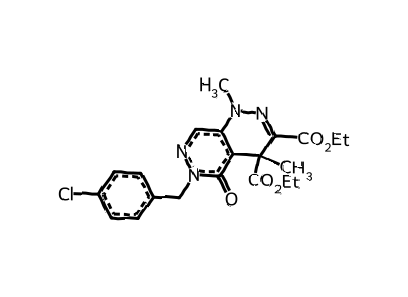 CCOC(=O)C1=NN(C)c2cnn(Cc3ccc(Cl)cc3)c(=O)c2C1(C)C(=O)OCC